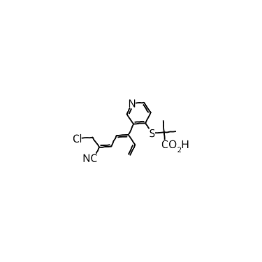 C=C/C(=C\C=C(\C#N)CCl)c1cnccc1SC(C)(C)C(=O)O